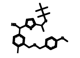 COc1ccc(COCc2cc(C(O)c3ccc(C(C)O[Si](C)(C)C(C)(C)C)s3)ccc2C)cc1